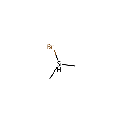 C[SiH](C)Br